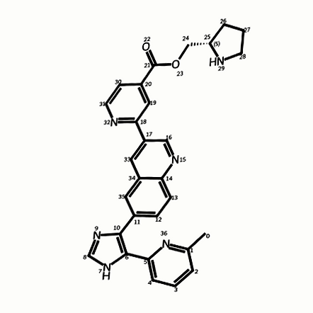 Cc1cccc(-c2[nH]cnc2-c2ccc3ncc(-c4cc(C(=O)OC[C@@H]5CCCN5)ccn4)cc3c2)n1